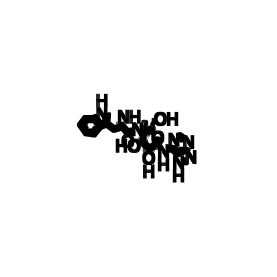 N[C@H](Cc1c[nH]c2ccccc12)C(=O)N[C@@H]1[C@@H](O)[C@H](O)[C@@H](Nc2ncnc3nc[nH]c23)O[C@H]1CO